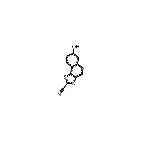 N#Cc1nc2ccc3cc(O)ccc3c2s1